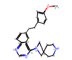 COc1ccc(CCc2ccc3ncnc(N4CC5(CCNCC5)C4)c3c2)cc1